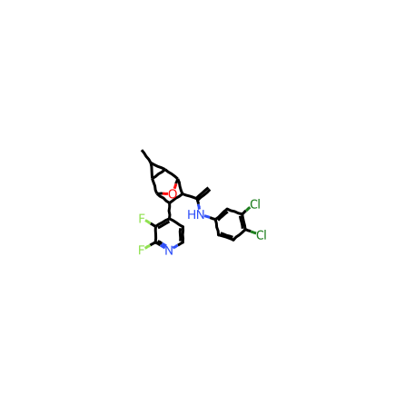 C=C(Nc1ccc(Cl)c(Cl)c1)C1C2OC(C1c1ccnc(F)c1F)C1C(C)C21